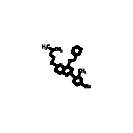 Cc1cc(C(C)(C)C)ccc1-c1cc(OCc2ccccc2)c2nc(OCCN(C)C)ccc2n1